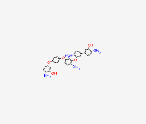 Nc1ccc(Oc2ccc(Oc3ccc(N)c(Oc4cc(-c5ccc(N)c(O)c5)ccc4N)c3)cc2)cc1O